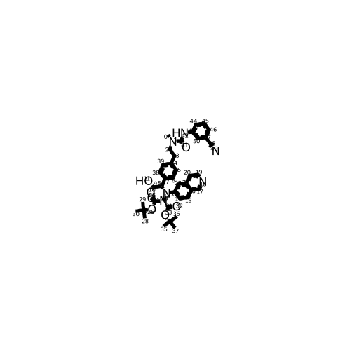 CN(CCc1ccc(C(C(=O)O)N(c2ccc3cnccc3c2)N(C(=O)OC(C)(C)C)C(=O)OC(C)(C)C)cc1)C(=O)Nc1cccc(C#N)c1